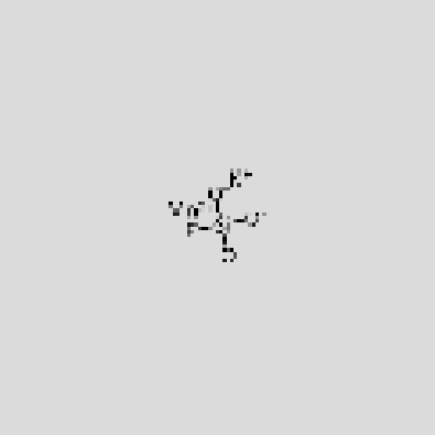 [K+].[Mn+2].[O-][Si]([O-])([O-])F